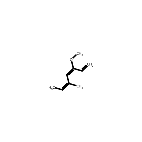 C=C/C(=C\C(C)=C/C)OC